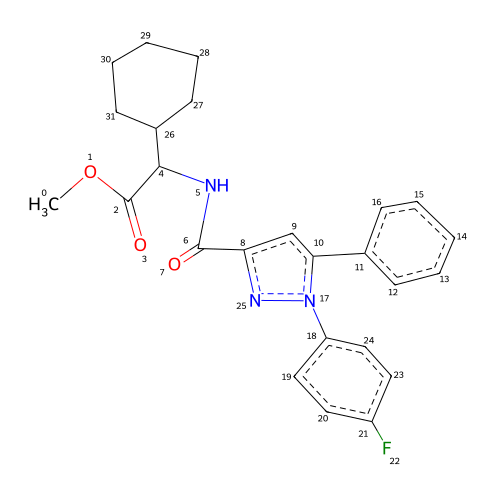 COC(=O)C(NC(=O)c1cc(-c2ccccc2)n(-c2ccc(F)cc2)n1)C1CCCCC1